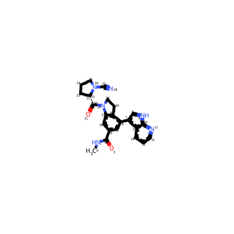 CNC(=O)c1cc(-c2c[nH]c3ncccc23)c2c(c1)N(C(=O)[C@@H]1CCCN1C#N)CC2